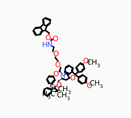 COc1ccc(C(O[C@@H]2C[C@@H](CO[Si](c3ccccc3)(c3ccccc3)C(C)(C)C)N(C(=O)COCCOCCNC(=O)OCC3c4ccccc4-c4ccccc43)C2)(c2ccccc2)c2ccc(OC)cc2)cc1